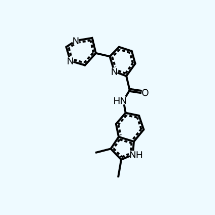 Cc1[nH]c2ccc(NC(=O)c3cccc(-c4cncnc4)n3)cc2c1C